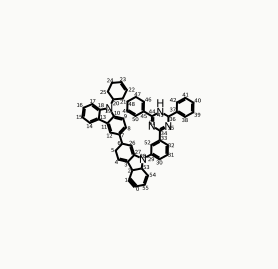 C1#CC2C3=CCC(c4ccc5c(c4)c4ccccc4n5C4CC=CCC4)C=C3N(c3cccc(C4=NC(c5ccccc5)NC(C5=CCCC=C5)=N4)c3)C2C=C1